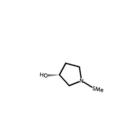 CSN1CC[C@@H](O)C1